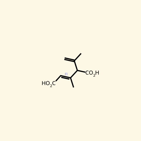 C=C(C)C(C(=O)O)/C(C)=C/C(=O)O